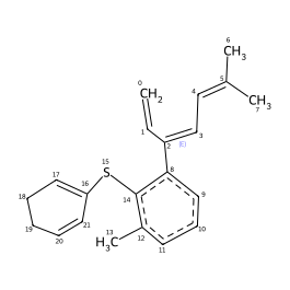 C=C/C(=C\C=C(C)C)c1cccc(C)c1SC1=CCCC=C1